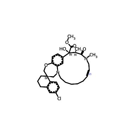 COC(=O)[C@@]1(O)c2ccc3c(c2)N(CCCCC/C=C\CN(C)C(=O)[C@H]1C)C[C@@]1(CCCc2cc(Cl)ccc21)CO3